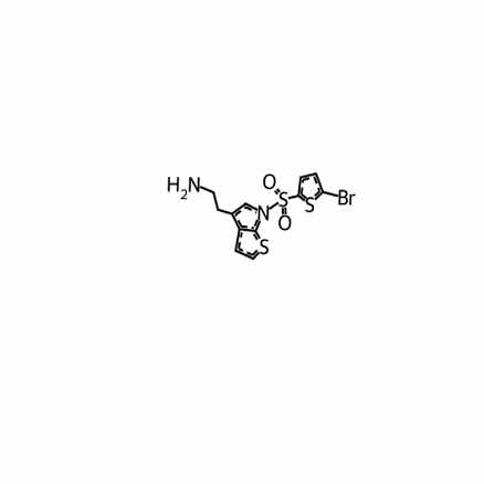 NCCc1cn(S(=O)(=O)c2ccc(Br)s2)c2sccc12